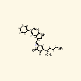 CC(C)CCCN(C)C1=N/C(=C\c2c[nH]c3ncc(C4=CCCC=C4)cc23)C(=O)N1